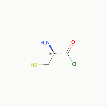 N[C@H](CS)C(=O)Cl